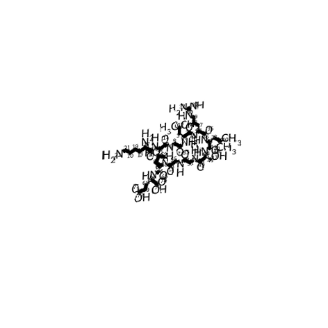 CC(C)C[C@H](NC(=O)CNC(=O)CNC(=O)[C@@H](N)CCCCN)C(=O)N[C@@H](CCCNC(=N)N)C(=O)N[C@@H](CC(C)C)C(=O)N[C@@H](CO)C(=O)NCC(=O)NCC(=O)N1C[C@H](O)C[C@H]1C(=O)N[C@@H](CCC(=O)O)C(=O)O